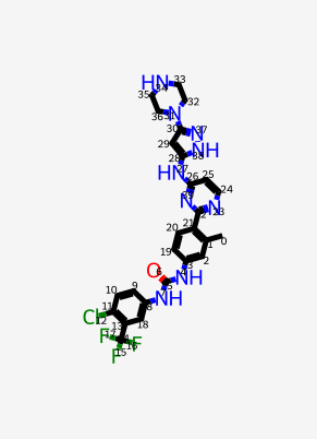 Cc1cc(NC(=O)Nc2ccc(Cl)c(C(F)(F)F)c2)ccc1-c1nccc(Nc2cc(N3CCNCC3)n[nH]2)n1